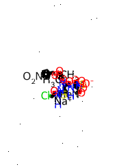 CNC(=O)[C@H]1[C@@H](NC(=O)C(=NOC(C)(C)C(=O)OCc2ccc([N+](=O)[O-])cc2)c2csc(NC(=O)CCl)n2)C(=O)N1S(=O)(=O)[O-].[Na+]